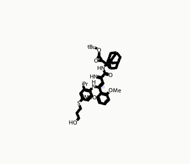 COc1cccc(OC)c1/C(=C/C(=N)C(=O)NC1(C2OC2OC(C)(C)C)C2CC3CC(C2)CC1C3)Nc1ccc(SCCCO)cc1C(C)C